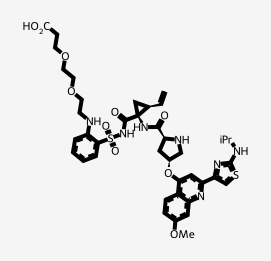 C=C[C@@H]1C[C@@]1(NC(=O)[C@@H]1C[C@@H](Oc2cc(-c3csc(NC(C)C)n3)nc3cc(OC)ccc23)CN1)C(=O)NS(=O)(=O)c1ccccc1NCCOCCOCCC(=O)O